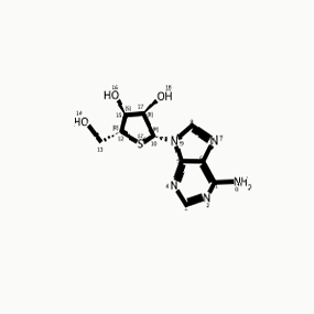 Nc1ncnc2c1ncn2[C@@H]1S[C@H](CO)[C@@H](O)[C@H]1O